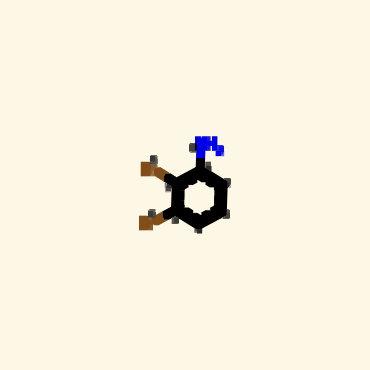 Nc1cccc(Br)c1Br